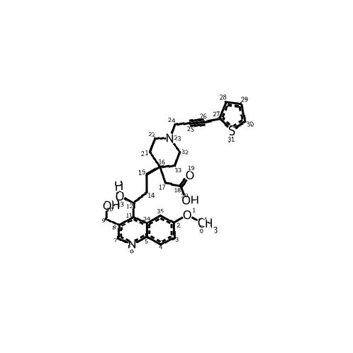 COc1ccc2ncc(CO)c(C(O)CCC3(CC(=O)O)CCN(CC#Cc4cccs4)CC3)c2c1